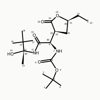 CC(C)(C)OC(=O)N[C@@H](C(=O)N[C@](C)(O)C(C)(C)C)[C@@H]1C[C@H](CI)OC1=O